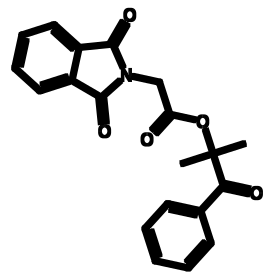 CC(C)(OC(=O)CN1C(=O)c2ccccc2C1=O)C(=O)c1ccccc1